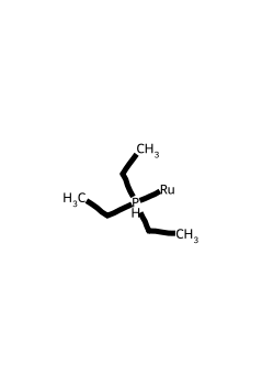 CC[PH]([Ru])(CC)CC